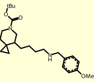 COc1ccc(CNCCCCC2CN(C(=O)OC(C)(C)C)CCC23CC3)cc1